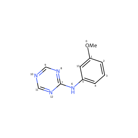 COc1cccc(Nc2ncncn2)c1